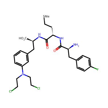 CSCC[C@H](NC(=O)[C@@H](N)Cc1ccc(F)cc1)C(=O)N[C@@H](Cc1cccc(N(CCCl)CCCl)c1)C(=O)O